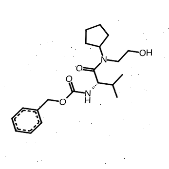 CC(C)[C@H](NC(=O)OCc1ccccc1)C(=O)N(CCO)C1CCCC1